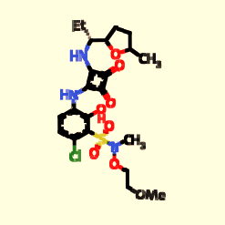 CC[C@@H](Nc1c(Nc2ccc(Cl)c(S(=O)(=O)N(C)OCCOC)c2O)c(=O)c1=O)C1CCC(C)O1